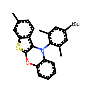 Cc1ccc2c3c(sc2c1)Oc1ccccc1N3c1c(C)cc(C(C)(C)C)cc1C